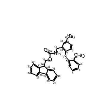 CC(C)(C)c1ccc(Sc2ccccc2C=O)c(CNC(=O)OCC2c3ccccc3-c3ccccc32)c1